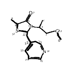 COCC(C)N1C(=O)C(C)SC1c1cccnc1